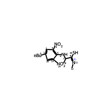 CCCCc1cc([N+](=O)[O-])c(NC(C)/C(S)=N\C)c([N+](=O)[O-])c1